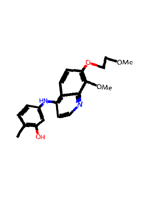 COCCOc1ccc2c(Nc3ccc(C)c(O)c3)ccnc2c1OC